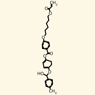 C=CC(=O)OCCCCCCOc1ccc(C(=O)OC2=CC=C(OC(O)c3ccc(C)cc3)CC2)cc1